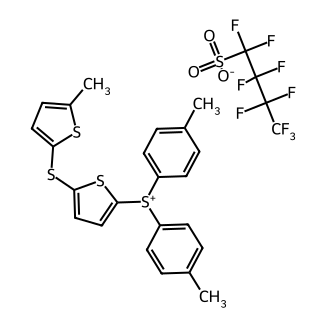 Cc1ccc([S+](c2ccc(C)cc2)c2ccc(Sc3ccc(C)s3)s2)cc1.O=S(=O)([O-])C(F)(F)C(F)(F)C(F)(F)C(F)(F)F